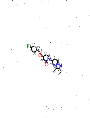 CCc1nc2ccc(-n3ccc(OCc4ccc(F)cc4)cc3=O)cn2c1C